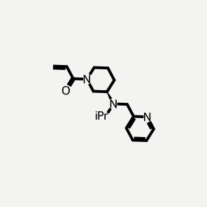 C=CC(=O)N1CCC[C@@H](N(Cc2ccccn2)C(C)C)C1